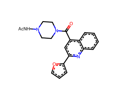 CC(=O)NN1CCN(C(=O)c2cc(-c3ccco3)nc3ccccc23)CC1